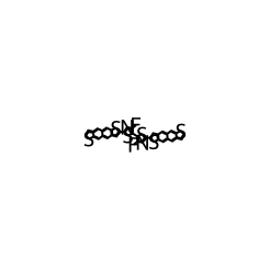 Fc1nc(-c2cc3cc4cc5sccc5cc4cc3s2)sc1-c1sc(-c2cc3cc4cc5sccc5cc4cc3s2)nc1F